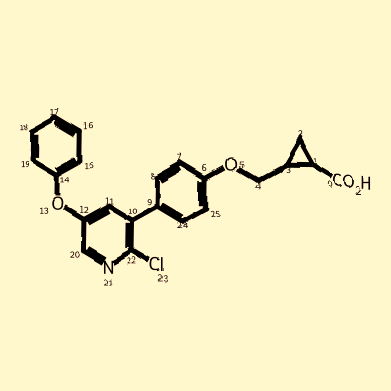 O=C(O)C1CC1COc1ccc(-c2cc(Oc3ccccc3)cnc2Cl)cc1